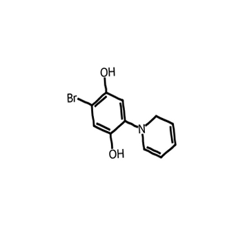 Oc1cc(N2C=CC=CC2)c(O)cc1Br